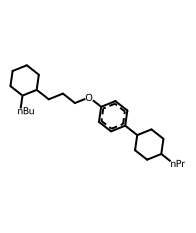 CCCCC1CCCCC1CCCOc1ccc(C2CCC(CCC)CC2)cc1